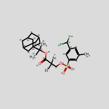 CCC(COS(=O)(=O)c1cc(C)cc(C(F)F)c1)(C(C)=O)C(=O)OC(C)(C)C12CC3CC(CC(C3)C1)C2